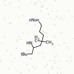 CCCCCCCCCCCCC(C)(C)CC([NH])CC(C)(C)C